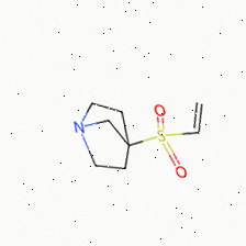 C=CS(=O)(=O)C12CCN(CC1)C2